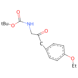 CCOc1ccc(CC(=O)CNC(=O)OC(C)(C)C)cc1